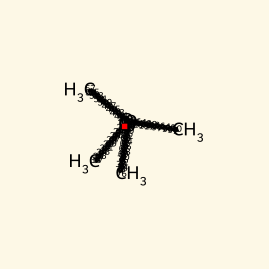 CCCCCCCCCCCCCCCCCC[O][Cr]([O]CCCCCCCCCCCCCCCCCC)([O]CCCCCCCCCCCCCCCCCC)[O]CCCCCCCCCCCCCCCCCC